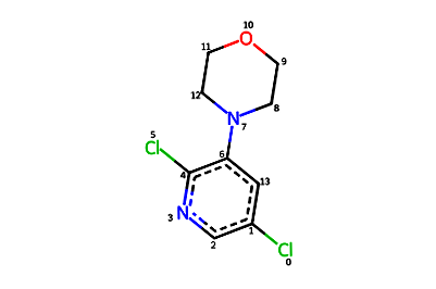 Clc1cnc(Cl)c(N2CCOCC2)c1